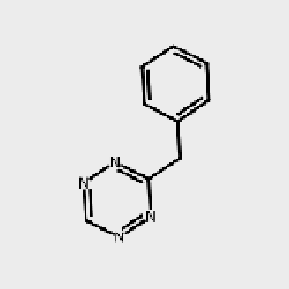 c1ccc(Cc2nncnn2)cc1